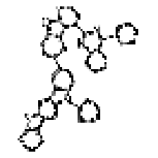 c1ccc(-c2nc(-c3cccc4oc5ccc(-c6ccc7c(c6)c6cc8sc9ccccc9c8cc6n7-c6ccccc6)cc5c34)nc3ccccc23)cc1